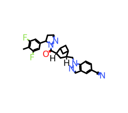 Cc1c(F)cc(C2CC=NN2C(=O)[C@H]2C[C@@H](Cn3ncc4cc(C#N)ccc43)C3CC2C3)cc1F